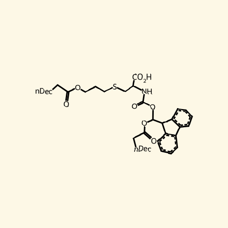 CCCCCCCCCCCC(=O)OCCCSCC(NC(=O)OC(OC(=O)CCCCCCCCCCC)C1c2ccccc2-c2ccccc21)C(=O)O